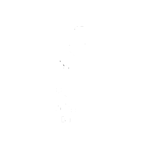 CC1=CCC(C(=O)C(=O)OC(C)(C)C)=C(CO/N=C(/C)c2cccc(C(F)(F)F)c2)C1